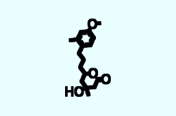 COc1ccc(CCCC2CC(C)(O)CC(=O)O2)c(C)c1